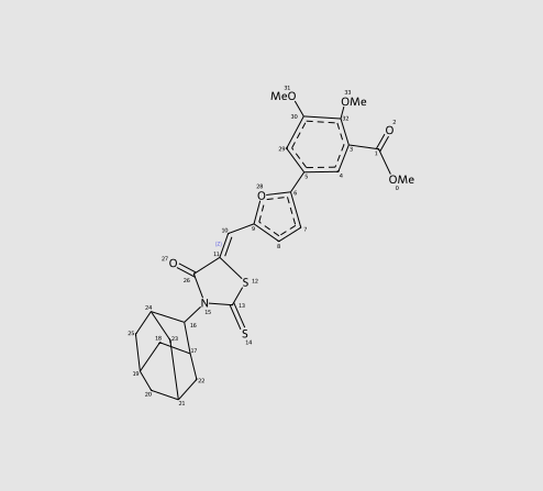 COC(=O)c1cc(-c2ccc(/C=C3\SC(=S)N(C4C5CC6CC(C5)CC4C6)C3=O)o2)cc(OC)c1OC